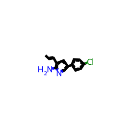 C/C=C/c1cc(-c2ccc(Cl)cc2)cnc1N